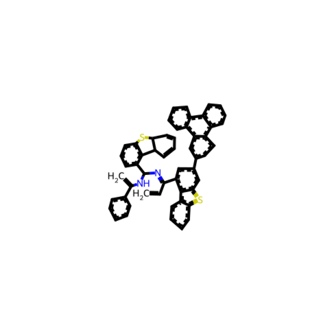 C=C/C(=N\C(NC(=C)c1ccccc1)c1cccc2c1C1C=CC=CC1S2)c1cc(-c2ccc3c4ccccc4c4ccccc4c3c2)cc2sc3ccccc3c12